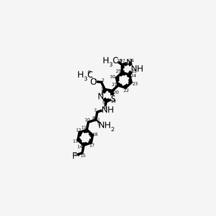 COCc1nc(NC[C@@H](N)Cc2ccc(CF)cc2)sc1-c1ccc2[nH]nc(C)c2c1